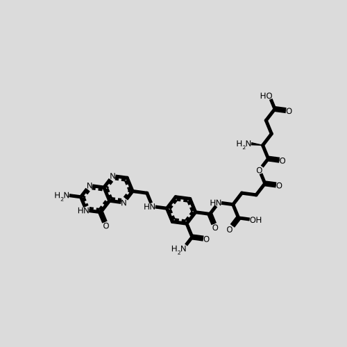 NC(=O)c1cc(NCc2cnc3nc(N)[nH]c(=O)c3n2)ccc1C(=O)NC(CCC(=O)OC(=O)[C@@H](N)CCC(=O)O)C(=O)O